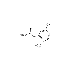 CCCCCCC(F)Cc1cc(O)ccc1C(=O)O